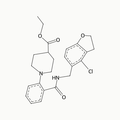 CCOC(=O)C1CCN(c2ccccc2C(=O)NCc2ccc3c(c2Cl)CCO3)CC1